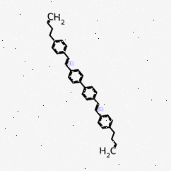 C=CCCc1ccc(/C=C/c2ccc(-c3ccc(/C=C/c4ccc(CCC=C)cc4)cc3)cc2)cc1